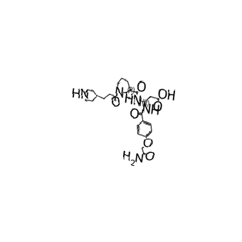 NC(=O)COc1ccc(C(=O)N[C@H](CC(=O)O)NC(=O)[C@@H]2CCCN(C(=O)CCC3CCNCC3)C2)cc1